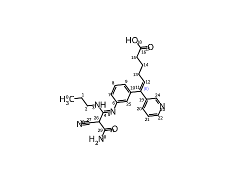 CCCNC(=Nc1cccc(/C(=C\CCCC(=O)O)c2cccnc2)c1)C(C#N)C(N)=O